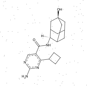 Nc1ncc(C(=O)N[C@H]2C3CC4CC2C[C@@](O)(C4)C3)c(C2CCC2)n1